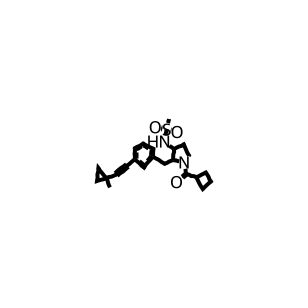 CC1(C#Cc2cccc(CC3C(NS(C)(=O)=O)CCN3C(=O)C3CCC3)c2)CC1